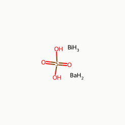 O=S(=O)(O)O.[BaH2].[BiH3]